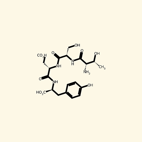 C[C@@H](O)[C@H](N)C(=O)N[C@@H](CO)C(=O)N[C@@H](CC(=O)O)C(=O)N[C@@H](Cc1ccc(O)cc1)C(=O)O